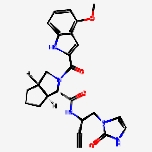 C#C[C@H](Cn1cc[nH]c1=O)NC(=O)[C@@H]1[C@H]2CCC[C@H]2CN1C(=O)c1cc2c(OC)cccc2[nH]1